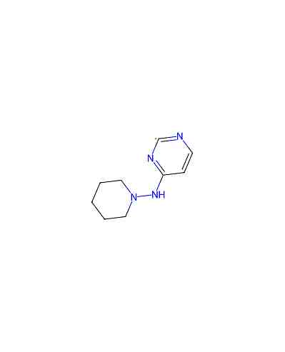 [c]1nccc(NN2CCCCC2)n1